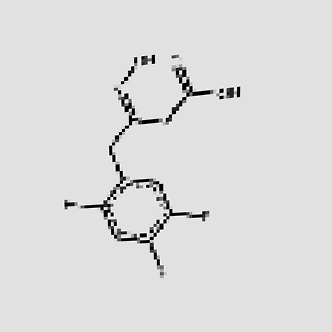 O=C(O)C/C(Cc1cc(F)c(F)cc1F)=N\O